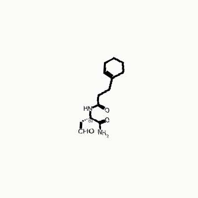 NC(=O)[C@H](CC=O)NC(=O)CCC1=CCCCC1